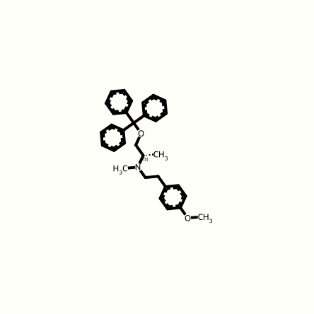 COc1ccc(CCN(C)[C@@H](C)COC(c2ccccc2)(c2ccccc2)c2ccccc2)cc1